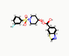 O=C(OOC1CCN(S(=O)(=O)c2cccc(F)c2)CC1)c1ccc2ncsc2c1